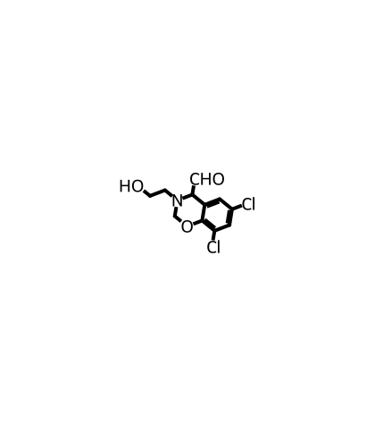 O=CC1c2cc(Cl)cc(Cl)c2OCN1CCO